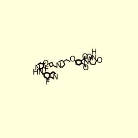 O=C1CCC(N2C(=O)c3ccc(OCCC4CCN(CC5CC(Oc6ccnc(Nc7cc(F)c8cnccc8c7)c6F)C5)CC4)cc3C2=O)C(=O)N1